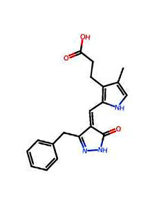 Cc1c[nH]c(C=C2C(=O)NN=C2Cc2ccccc2)c1CCC(=O)O